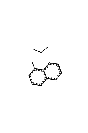 CC(C)[CH2][Na].O=S(=O)(O)c1cccc2ccccc12